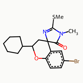 CSC1=NC2(CC(C3CCCCC3)Oc3ccc(Br)cc32)C(=O)N1C